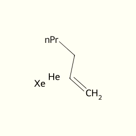 C=CCCCC.[He].[Xe]